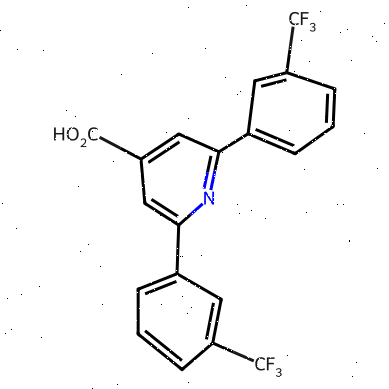 O=C(O)c1cc(-c2cccc(C(F)(F)F)c2)nc(-c2cccc(C(F)(F)F)c2)c1